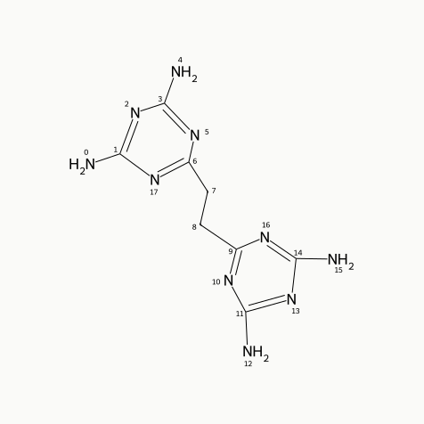 Nc1nc(N)nc(CCc2nc(N)nc(N)n2)n1